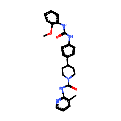 COc1ccccc1NC(=O)Nc1ccc(C2CCN(C(=O)Nc3ncccc3C)CC2)cc1